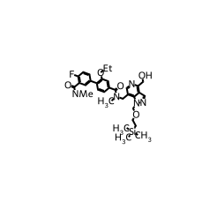 CCOc1cc(C(=O)N(C)Cc2cnc(CO)c3cnn(COCC[Si](C)(C)C)c23)ccc1-c1ccc(F)c(C(=O)NC)c1